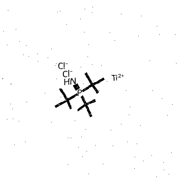 CC(C)(C)P(=N)(C(C)(C)C)C(C)(C)C.[Cl-].[Cl-].[Ti+2]